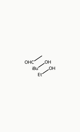 CC=O.CCC(C)O.CCO